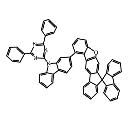 c1ccc(-c2nc(-c3ccccc3)nc(-n3c4ccccc4c4ccc(-c5cccc6oc7cc8c(cc7c56)-c5ccccc5C85c6ccccc6-c6ccccc65)cc43)n2)cc1